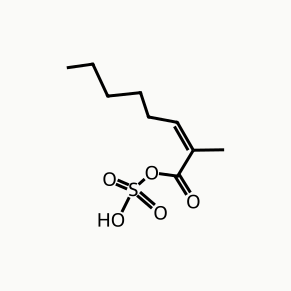 CCCCCC=C(C)C(=O)OS(=O)(=O)O